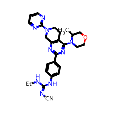 CCN/C(=N/C#N)Nc1ccc(-c2nc3c(c(N4CCOCC4C)n2)CCN(c2ncccn2)C3)cc1